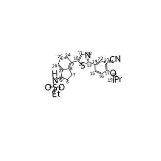 CCS(=O)(=O)N[C@@H]1CCc2c(-c3cnc(-c4ccc(OC(C)C)c(C#N)c4)s3)cccc21